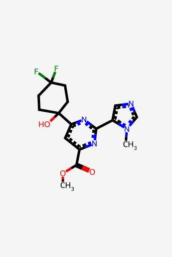 COC(=O)c1cc(C2(O)CCC(F)(F)CC2)nc(-c2cncn2C)n1